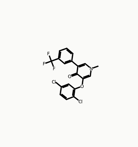 Cn1cc(Oc2cc(Cl)ccc2Cl)c(=O)c(-c2cccc(C(F)(F)F)c2)c1